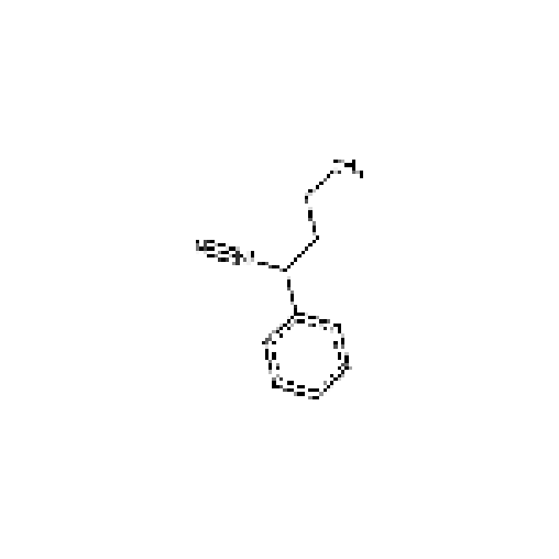 CCCC([N+]#N)c1ccccc1